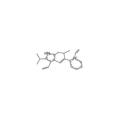 C=Cc1c(C(C)C)[nH]c2c1C=C(c1cccc[n+]1C=C)C(C)C2